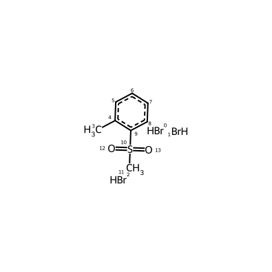 Br.Br.Br.Cc1ccccc1S(C)(=O)=O